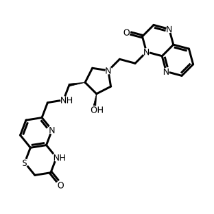 O=C1CSc2ccc(CNC[C@H]3CN(CCn4c(=O)cnc5cccnc54)C[C@H]3O)nc2N1